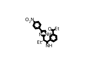 CCC(=O)c1cccc(C(=N)[C@H](CC)c2nc(-c3ccc([N+](=O)[O-])cc3)c[nH]2)c1